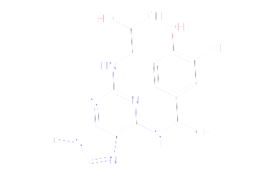 CC(O)CNc1nc(NC(C)c2ccc(O)c(O)c2)c2ncn(C(C)C)c2n1